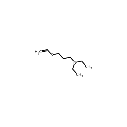 C=CSCCCN(CC)CC